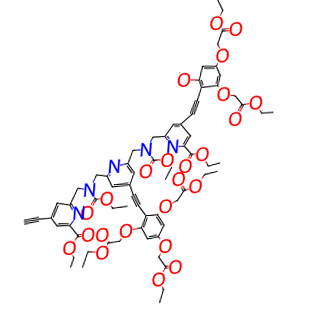 C#Cc1cc(CN(Cc2cc(C#Cc3c(OCC(=O)OCC)cc(OCC(=O)OCC)cc3OCC(=O)OCC)cc(CN(Cc3cc(C#Cc4c(OC)cc(OCC(=O)OCC)cc4OCC(=O)OCC)cc(C(=O)OCC)n3)C(=O)OCC)n2)C(=O)OCC)nc(C(=O)OCC)c1